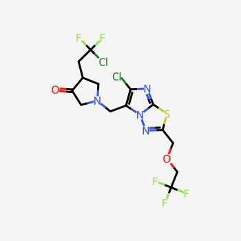 O=C1CN(Cc2c(Cl)nc3sc(COCC(F)(F)F)nn23)CC1CC(F)(F)Cl